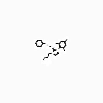 Cc1cc(C)c(-n2ccn(CCCS(=O)(=O)O)/c2=N\N=N\c2ccccc2)c(C)c1